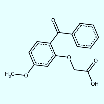 COc1ccc(C(=O)c2ccccc2)c(OCC(=O)O)c1